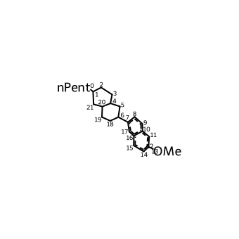 CCCCCC1CCC2CC(c3ccc4cc(OC)ccc4c3)CCC2C1